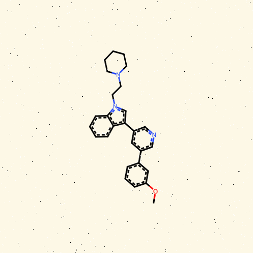 COc1cccc(-c2cncc(-c3cn(CCN4CCCCC4)c4ccccc34)c2)c1